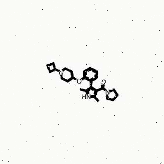 Cc1[nH]c(C)c(-c2ccccc2OC2CCN(C3CCC3)CC2)c1C(=O)N1CCCC1